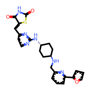 O=C1NC(=O)C(=Cc2ccnc(N[C@H]3CC[C@H](NCc4cccc(-c5ccco5)n4)CC3)n2)S1